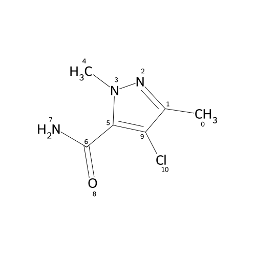 Cc1nn(C)c(C(N)=O)c1Cl